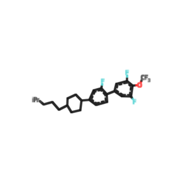 CC(C)CCCC1CCC(c2ccc(-c3cc(F)c(OC(F)(F)F)c(F)c3)c(F)c2)CC1